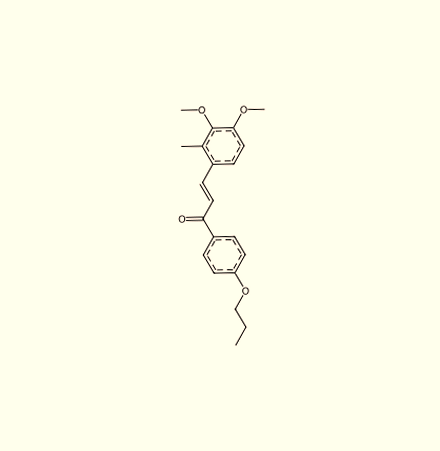 CCCOc1ccc(C(=O)C=Cc2ccc(OC)c(OC)c2C)cc1